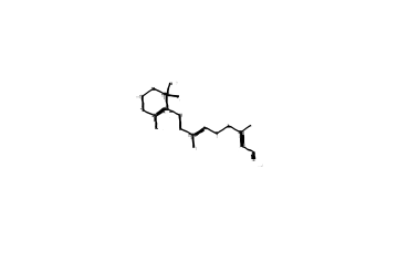 CC(=CC=O)CCC=C(C)CCC1=C(C)CCCC1(C)C